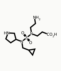 NCCN(CCC(=O)O)S(=O)(=O)N(CC1CC1)C1CCNC1